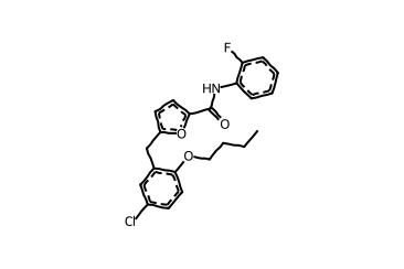 CCCCOc1ccc(Cl)cc1Cc1ccc(C(=O)Nc2ccccc2F)o1